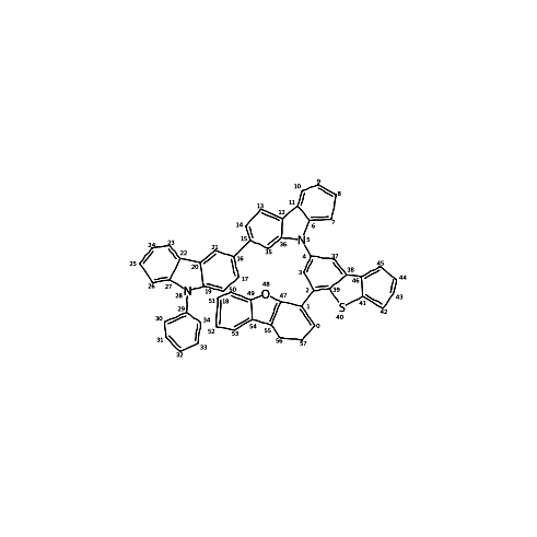 C1=C(c2cc(-n3c4ccccc4c4ccc(-c5ccc6c(c5)c5ccccc5n6-c5ccccc5)cc43)cc3c2sc2ccccc23)c2oc3ccccc3c2CC1